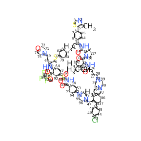 Cc1ncsc1-c1ccc([C@H](C)NC(=O)[C@@H]2CCCN2C(=O)[C@@H](NC(=O)CCCN2CCN(CC3(C)CCC(c4ccc(Cl)cc4)=C(CN4CCN(c5ccc(C(=O)NS(=O)(=O)c6ccc(N[C@H](CCN7CCOCC7)CSc7ccccc7)c(S(=O)(=O)C(F)(F)F)c6)cc5)CC4)C3)CC2)C(C)(C)C)cc1